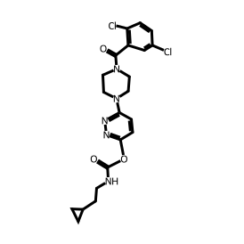 O=C(NCCC1CC1)Oc1ccc(N2CCN(C(=O)c3cc(Cl)ccc3Cl)CC2)nn1